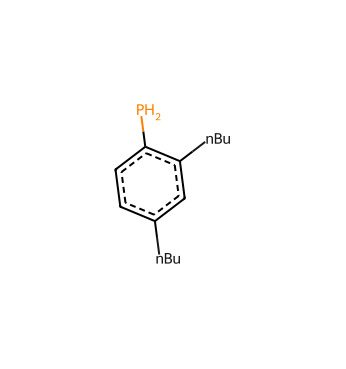 CCCCc1ccc(P)c(CCCC)c1